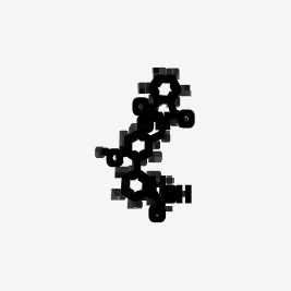 COc1ccc(CN2C(=O)c3ccccc3S2(=O)=O)cc1-c1cccc([NH+]([O-])O)c1